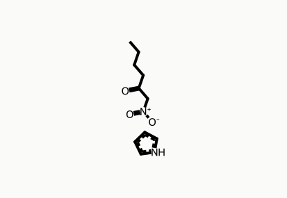 CCCCC(=O)C[N+](=O)[O-].c1cc[nH]c1